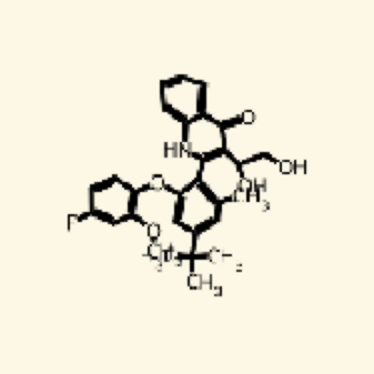 COc1cc(F)ccc1Oc1cc(C(C)(C)C)cc(C)c1-c1[nH]c2ccccc2c(=O)c1C(O)CO